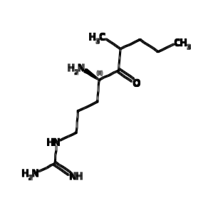 CCCC(C)C(=O)[C@H](N)CCCNC(=N)N